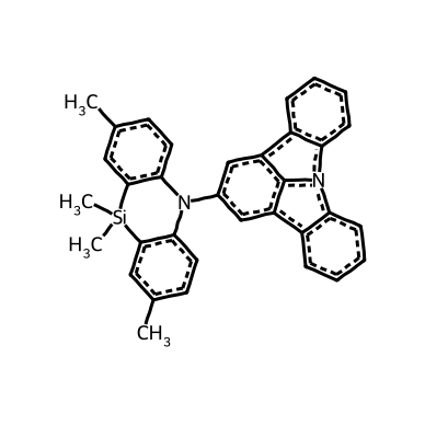 Cc1ccc2c(c1)[Si](C)(C)c1cc(C)ccc1N2c1cc2c3ccccc3n3c4ccccc4c(c1)c23